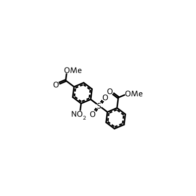 COC(=O)c1ccc(S(=O)(=O)c2ccccc2C(=O)OC)c([N+](=O)[O-])c1